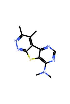 Cc1nnc2sc3c(N(C)C)ncnc3c2c1C